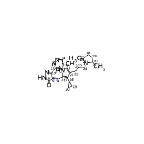 Cc1[nH]c(/C=C2/C(=O)NN=C2c2nccnn2)c(C2CC2)c1CCCN1C(C)CCC1C